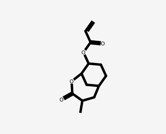 C=CC(=O)OC1CCC2CC(C)C(=O)OC1C2